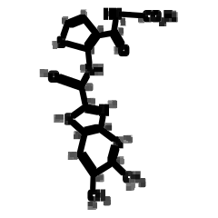 CCOC(=O)NC(=O)c1ccsc1NC(=O)c1nc2nc(C)c(C)cc2s1